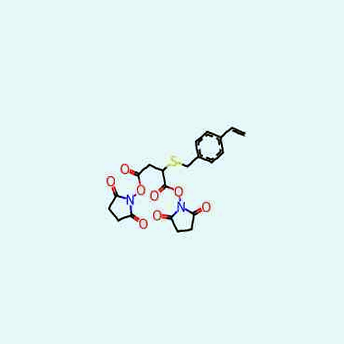 C=Cc1ccc(CSC(CC(=O)ON2C(=O)CCC2=O)C(=O)ON2C(=O)CCC2=O)cc1